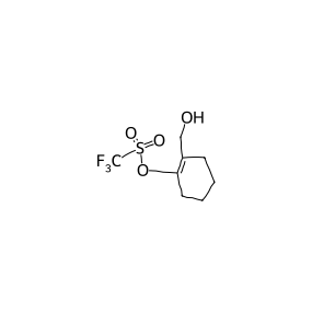 O=S(=O)(OC1=C(CO)CCCC1)C(F)(F)F